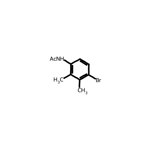 CC(=O)Nc1ccc(Br)c(C)c1C